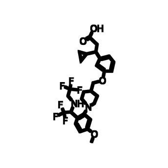 COc1ccc(C(NCC(F)(F)F)C(F)(F)F)c(N2CCC(COc3cccc(C(CC(=O)O)C4CC4)c3)CC2)c1